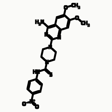 COc1cc2nc(N3CCN(C(=S)Nc4ccc([N+](=O)[O-])cc4)CC3)nc(N)c2cc1OC